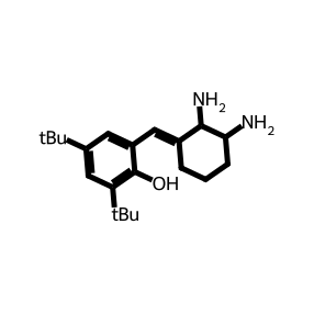 CC(C)(C)c1cc(C=C2CCCC(N)C2N)c(O)c(C(C)(C)C)c1